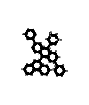 c1ccc(-c2ccc3c(-c4cc5ccccc5c5ccccc45)c4cc(-c5ccccc5)ccc4c(-c4cncnc4)c3c2)cc1